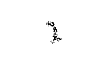 CCc1nn(CC(F)F)c2nc(N3CCC4(CN(c5ccnc(C(F)(F)F)c5)C4)C3)ncc12